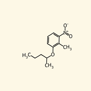 CCCC(C)Oc1cccc([N+](=O)[O-])c1C